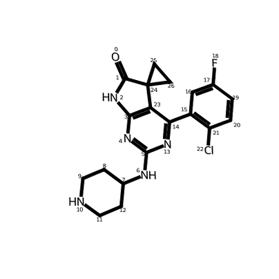 O=C1Nc2nc(NC3CCNCC3)nc(-c3cc(F)ccc3Cl)c2C12CC2